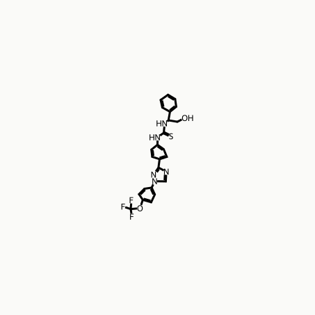 OCC(NC(=S)Nc1ccc(-c2ncn(-c3ccc(OC(F)(F)F)cc3)n2)cc1)c1ccccc1